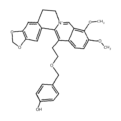 COc1ccc2c(CCOCc3ccc(O)cc3)c3[n+](cc2c1OC)CCc1cc2c(cc1-3)OCO2